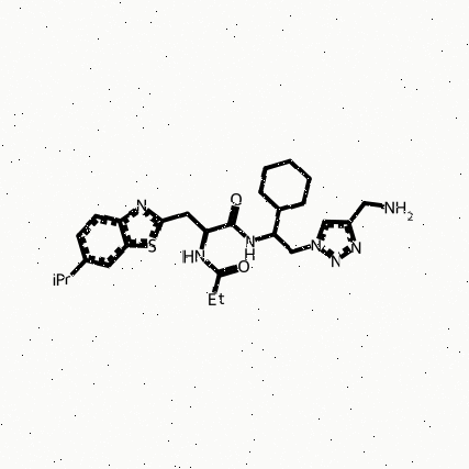 CCC(=O)NC(Cc1nc2ccc(C(C)C)cc2s1)C(=O)NC(Cn1cc(CN)nn1)C1CCCCC1